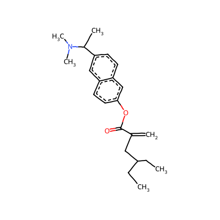 C=C(CC(CC)CC)C(=O)Oc1ccc2cc(C(C)N(C)C)ccc2c1